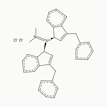 C[Si](C)=[Ti+2]([C@@H]1C=C(Cc2ccccc2)c2ccccc21)[C@H]1C=C(Cc2ccccc2)c2ccccc21.[Cl-].[Cl-]